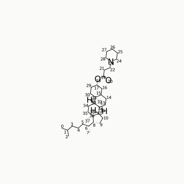 CC(C)CCC[C@@H](C)[C@H]1CC[C@H]2[C@@H]3CCC4C[C@@H](OC(=O)CCN5CCCCC5)CC[C@]4(C)[C@H]3CC[C@]12C